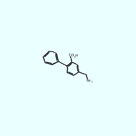 NCc1ccc(-c2ccccc2)c(C(=O)O)c1